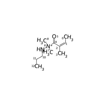 CC=C(C)C(=O)[N+](C)(C)NCCC